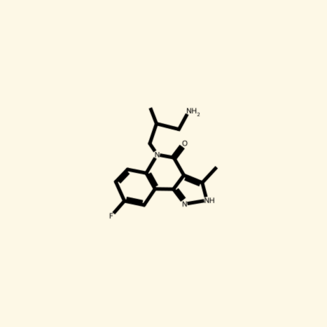 Cc1[nH]nc2c1c(=O)n(CC(C)CN)c1ccc(F)cc21